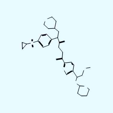 COCC(OC1CCCCO1)c1ccc(C(=O)CCC(=O)C(CC2CCOCC2)c2ccc(S(=O)(=O)C3CC3)cc2)nc1